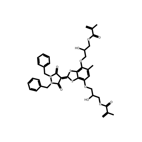 C=C(C)C(=O)OCC(O)COc1cc(C)c(OCC(O)COC(=O)C(=C)C)c2c1SC(=C1C(=O)N(Cc3ccccc3)N(Cc3ccccc3)C1=O)S2